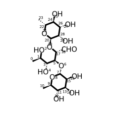 C[C@@H](O)[C@@H](O)[C@H](O[C@H]1O[C@H](C)[C@@H](O)[C@H](O)[C@@H]1O)[C@@H](C=O)O[C@H]1O[C@H](C)[C@@H](O)[C@H](O)[C@@H]1O